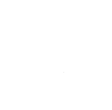 COCCN1CCC(OC2CCN(S(N)(=O)=O)CC2)CC1